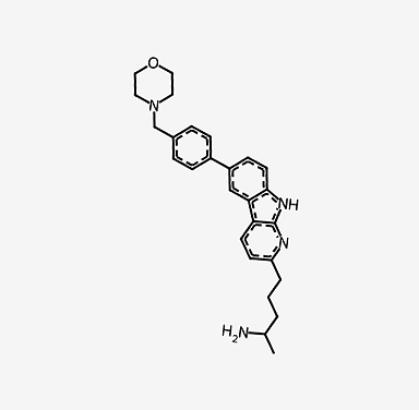 CC(N)CCCc1ccc2c(n1)[nH]c1ccc(-c3ccc(CN4CCOCC4)cc3)cc12